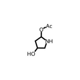 CC(=O)OC1CC(O)CN1